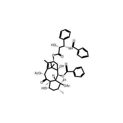 CC[C@]1(OC(C)=O)[C@H](C)C[C@H](O)[C@@]2(C)C(=O)[C@H](OC(C)=O)C3=C(C)[C@@H](OC(=O)[C@H](O)[C@@H](NC(=O)c4ccccc4)c4ccccc4)C[C@@](O)([C@@H](OC(=O)c4ccccc4)[C@H]12)C3(C)C